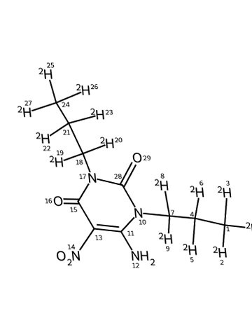 [2H]C([2H])([2H])C([2H])([2H])C([2H])([2H])n1c(N)c([N+](=O)[O-])c(=O)n(C([2H])([2H])C([2H])([2H])C([2H])([2H])[2H])c1=O